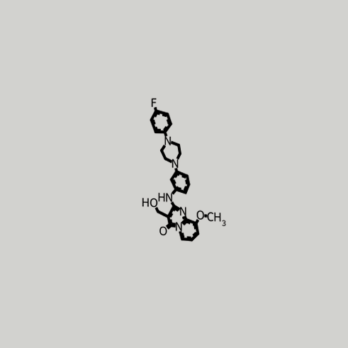 COc1cccn2c(=O)c(CO)c(Nc3cccc(N4CCN(c5ccc(F)cc5)CC4)c3)nc12